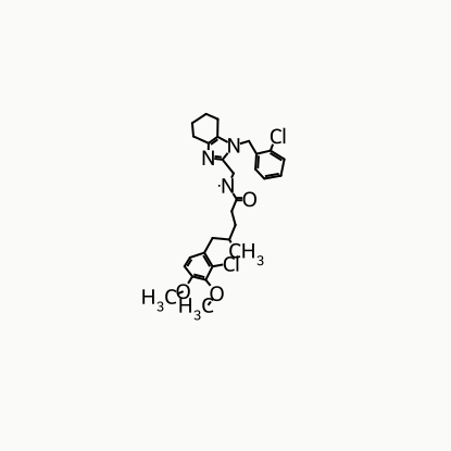 COc1ccc(CC(C)CCC(=O)[N]Cc2nc3c(n2Cc2ccccc2Cl)CCCC3)c(Cl)c1OC